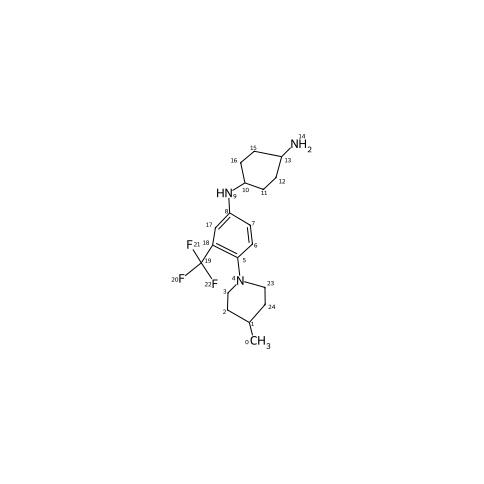 CC1CCN(c2ccc(NC3CCC(N)CC3)cc2C(F)(F)F)CC1